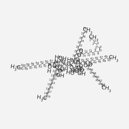 CCCCCC/C=C\CCCCCCCC(=O)OC(CCCCCCCCCCC)CC(=O)N[C@H]1C(OC(=O)CC(CCCCCCCCCCC)OC(=O)CCCCCCCCCCC)C(OP(=O)(O)O)C(CO)O[C@H]1OCC1OC(O)[C@@H](NC(=O)CC(O)CCCCCCCCCCCCC)C(OC(=O)CC(O)CCCCCCCCCCC)[C@@H]1O